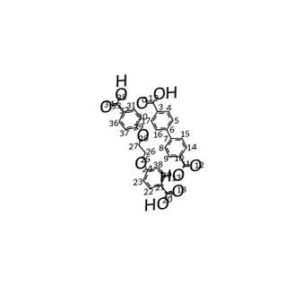 O=C(O)c1ccc(-c2ccc(C(=O)O)cc2)cc1.O=C(O)c1ccc(OCCOc2ccc(C(=O)O)cc2)cc1